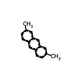 Cc1ccc2cc3ccc(C)cc3cc2c1